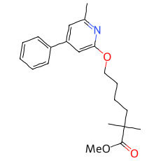 COC(=O)C(C)(C)CCCCOc1cc(-c2ccccc2)cc(C)n1